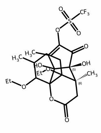 CCOC1C(C)CCC2(OCC)C13OC(=O)C[C@]2(C)[C@@]1(O)C(=O)C(OS(=O)(=O)C(F)(F)F)=C(C)C31O